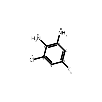 Nc1cc(Cl)cc(Cl)c1N